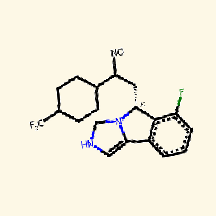 O=NC(C[C@@H]1c2c(F)cccc2C2=CNCN21)C1CCC(C(F)(F)F)CC1